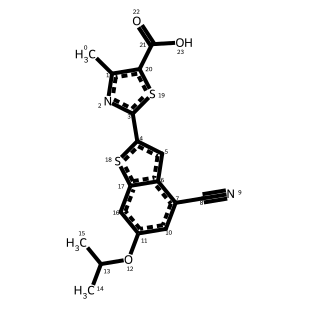 Cc1nc(-c2cc3c(C#N)cc(OC(C)C)cc3s2)sc1C(=O)O